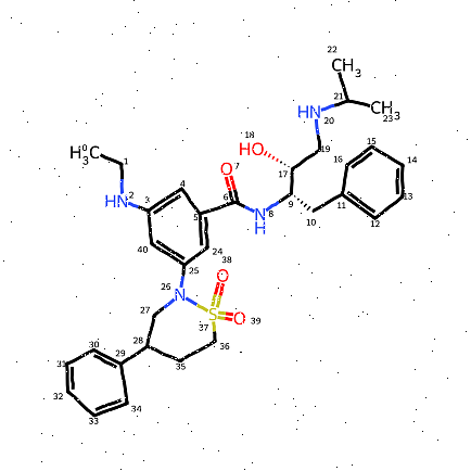 CCNc1cc(C(=O)N[C@@H](Cc2ccccc2)[C@H](O)CNC(C)C)cc(N2CC(c3ccccc3)CCS2(=O)=O)c1